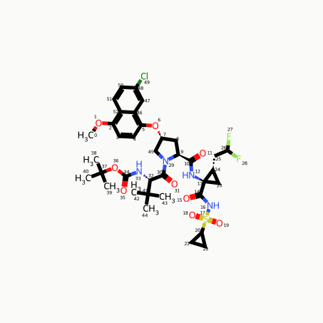 COc1ccc(O[C@@H]2C[C@@H](C(=O)N[C@]3(C(=O)NS(=O)(=O)C4CC4)C[C@H]3CC(F)F)N(C(=O)[C@@H](NC(=O)OC(C)(C)C)C(C)(C)C)C2)c2cc(Cl)ccc12